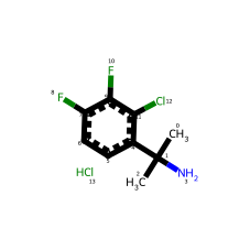 CC(C)(N)c1ccc(F)c(F)c1Cl.Cl